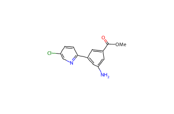 COC(=O)c1cc(N)cc(-c2ccc(Cl)cn2)c1